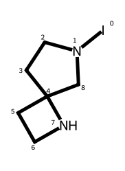 IN1CCC2(CCN2)C1